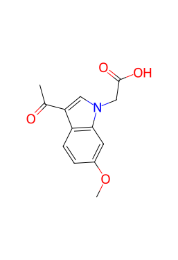 COc1ccc2c(C(C)=O)cn(CC(=O)O)c2c1